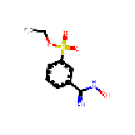 N=C(NO)c1cccc(S(=O)(=O)OCC(F)(F)F)c1